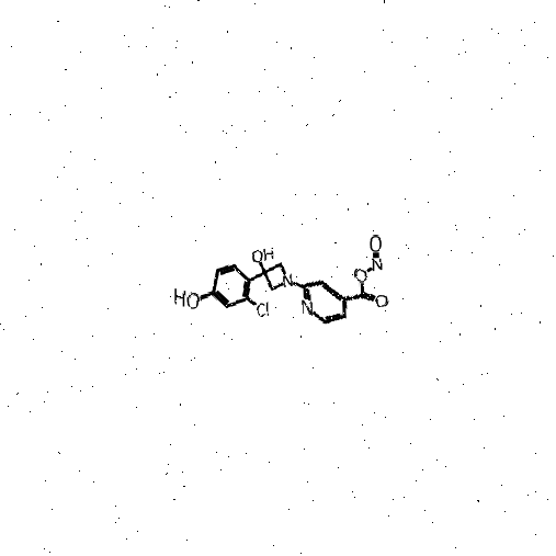 O=NOC(=O)c1ccnc(N2CC(O)(c3ccc(O)cc3Cl)C2)c1